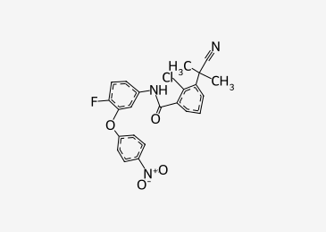 CC(C)(C#N)c1cccc(C(=O)Nc2ccc(F)c(Oc3ccc([N+](=O)[O-])cc3)c2)c1Cl